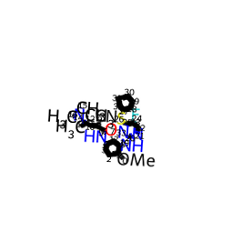 COc1ccc(NC(=O)/C(C#N)=C/C(C)(C)N(C)C)cc1Nc1ncc(F)c(Sc2ccccc2)n1